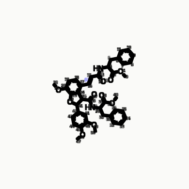 COC(=O)C(Cc1ccccc1)NC(=O)/C=C/c1ccc(OC)c2c1C(C(=O)NC(Cc1ccccc1)C(=O)OC)C(c1ccc(OC)c(OC)c1)O2